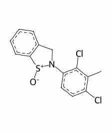 Cc1c(Cl)ccc(N2Cc3ccccc3[S+]2[O-])c1Cl